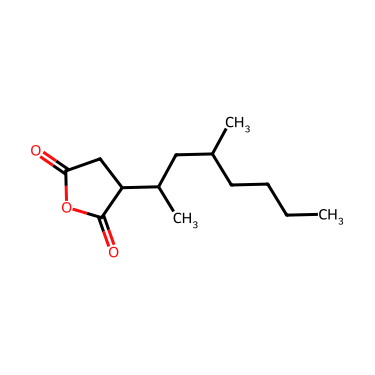 CCCCC(C)CC(C)C1CC(=O)OC1=O